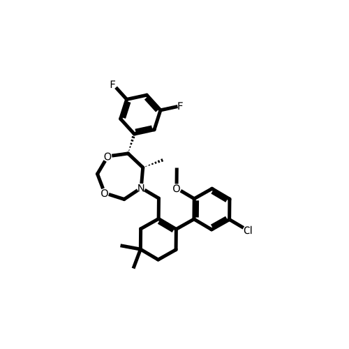 COc1ccc(Cl)cc1C1=C(CN2COCO[C@H](c3cc(F)cc(F)c3)[C@@H]2C)CC(C)(C)CC1